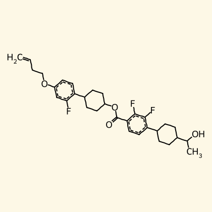 C=CCCOc1ccc(C2CCC(OC(=O)c3ccc(C4CCC(C(C)O)CC4)c(F)c3F)CC2)c(F)c1